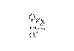 NC(CN1CCCC1)C(O)C1=COC=C(C2=CC=CCC2)O1